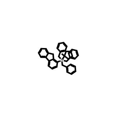 C[C]1([Zr]([CH2]c2ccccc2)([CH2]c2ccccc2)([CH2]c2ccccc2)[c]2cccc3c2Cc2ccccc2-3)CCCC1